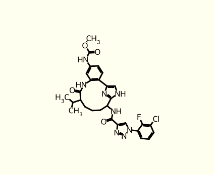 COC(=O)Nc1ccc2c(c1)NC(=O)C(C(C)C)CCCC(NC(=O)c1cn(-c3cccc(Cl)c3F)nn1)c1nc-2c[nH]1